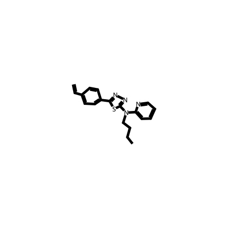 C=Cc1ccc(-c2nnc(N(CCCC)c3ccccn3)s2)cc1